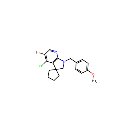 COc1ccc(CN2CC3(CCCC3)c3c2ncc(Br)c3Cl)cc1